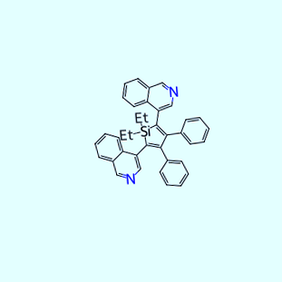 CC[Si]1(CC)C(c2cncc3ccccc23)=C(c2ccccc2)C(c2ccccc2)=C1c1cncc2ccccc12